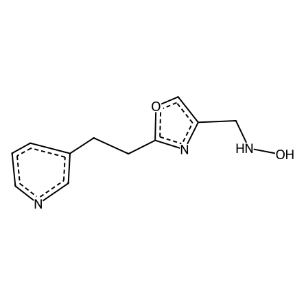 ONCc1coc(CCc2cccnc2)n1